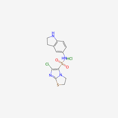 Cl.O=S(=O)(Nc1ccc2c(c1)CCN2)c1c(Cl)nc2n1CCS2